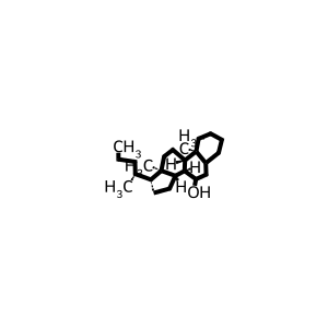 CCC[C@@H](C)[C@H]1CC[C@H]2[C@@H]3C(O)CC4CCC[CH][C@]4(C)[C@H]3CC[C@]12C